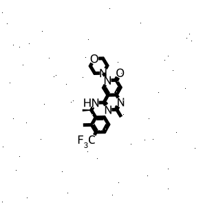 Cc1nc(N[C@H](C)c2cccc(C(F)(F)F)c2C)c2cn(N3CCOCC3)c(=O)cc2n1